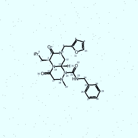 CC(C)C[C@H]1C(=O)N(Cc2ccco2)C[C@H]2N1C(=O)CN(C)N2C(=O)NCc1ccccc1